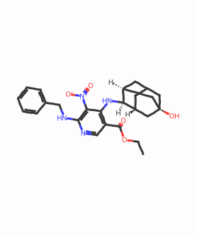 CCOC(=O)c1cnc(NCc2ccccc2)c([N+](=O)[O-])c1N[C@@H]1[C@@H]2CC3C[C@H]1C[C@](O)(C3)C2